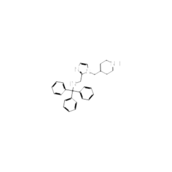 c1ccc(C(NCc2nccn2CC2CCNCC2)(c2ccccc2)c2ccccc2)cc1